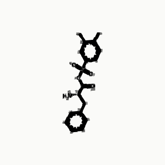 Cc1ccc(S(=O)(=O)OC(=O)[C@@H](N)Cc2ccccc2)cc1C